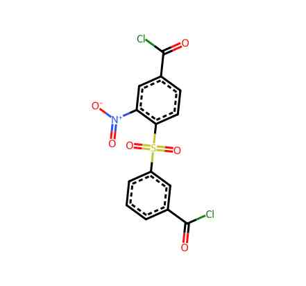 O=C(Cl)c1cccc(S(=O)(=O)c2ccc(C(=O)Cl)cc2[N+](=O)[O-])c1